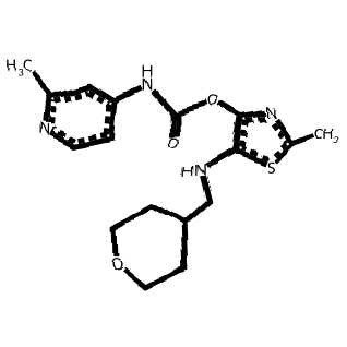 Cc1cc(NC(=O)Oc2nc(C)sc2NCC2CCOCC2)ccn1